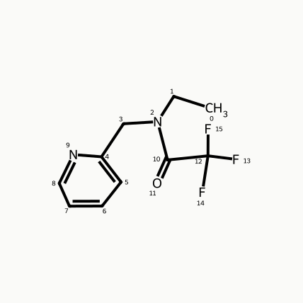 CCN(Cc1ccccn1)C(=O)C(F)(F)F